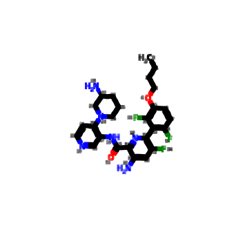 CCCCOc1ccc(F)c(-c2nc(C(=O)Nc3cnccc3N3CCC[C@H](N)C3)c(N)cc2F)c1F